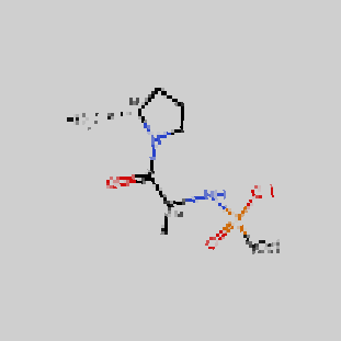 CCCCCCCCP(=O)(O)N[C@@H](C)C(=O)N1CCC[C@H]1C(=O)O